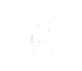 CC(C)(C)C(F)C(C)(F)C(C)(C)C